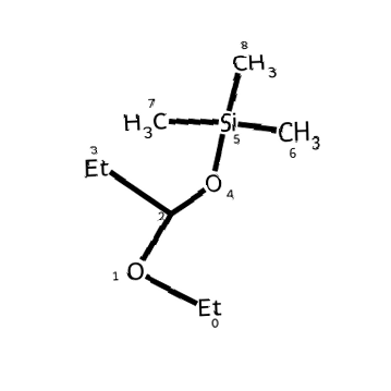 CCOC(CC)O[Si](C)(C)C